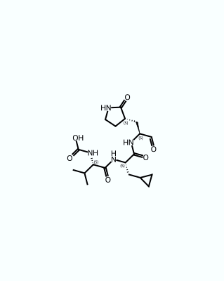 CC(C)[C@H](NC(=O)O)C(=O)N[C@@H](CC1CC1)C(=O)N[C@H](C=O)C[C@@H]1CCNC1=O